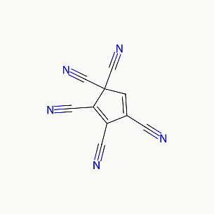 N#CC1=CC(C#N)(C#N)C(C#N)=C1C#N